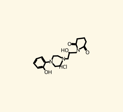 Cl.O=C1CCCC(=O)N1CC(O)CN1CCN(c2ccccc2O)CC1